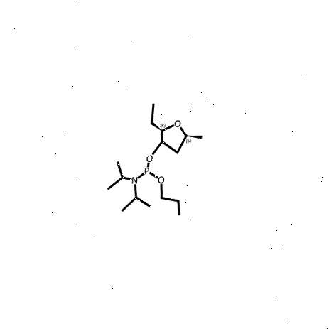 CCCOP(OC1C[C@H](C)O[C@@H]1CC)N(C(C)C)C(C)C